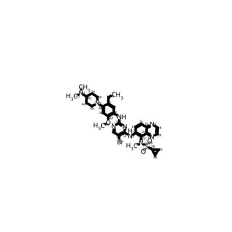 CCc1cc(Nc2ncc(Br)c(Nc3ccc4nccnc4c3N(C)S(=O)(=O)C3CC3)n2)c(OC)cc1N1CCC(N(C)C)CC1